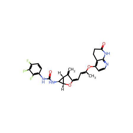 C=C1/C(=C\C=C(/C)Oc2ccnc3c2CCC(=O)N3)O[C@@H]2[C@@H](NC(=O)Nc3ccc(F)c(F)c3F)[C@H]12